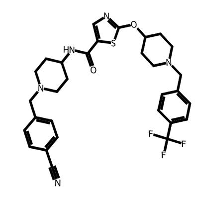 N#Cc1ccc(CN2CCC(NC(=O)c3cnc(OC4CCN(Cc5ccc(C(F)(F)F)cc5)CC4)s3)CC2)cc1